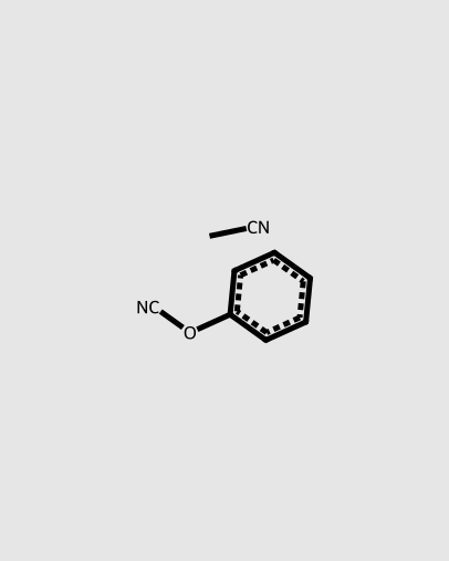 CC#N.N#COc1ccccc1